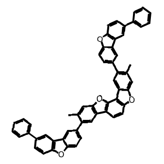 Cc1cc2oc3c(ccc4oc5cc(C)c(-c6ccc7oc8ccc(-c9ccccc9)cc8c7c6)cc5c43)c2cc1-c1ccc2oc3ccc(-c4ccccc4)cc3c2c1